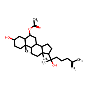 C=C(C)CCCC(C)(O)C1CCC2C3CC(OC(C)=O)C4CC(O)CCC4(C)C3CCC21C